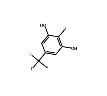 Oc1cc(C(F)(F)F)cc(O)c1I